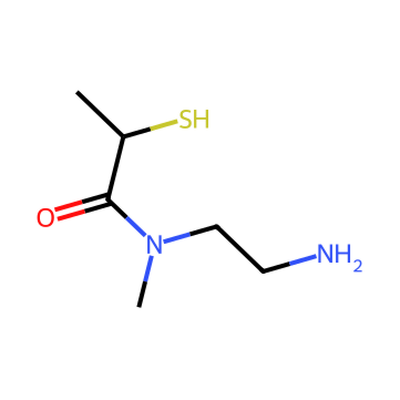 CC(S)C(=O)N(C)CCN